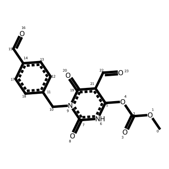 COC(=O)Oc1[nH]c(=O)n(Cc2ccc(C=O)cc2)c(=O)c1C=O